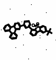 CC(C)(C)c1ccc2c(c1)-c1cccc(-c3cccc(-c4ccc5c6ccccc6c6ccccc6c5c4)c3)c1S2(=O)=O